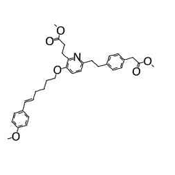 COC(=O)CCc1nc(CCc2ccc(CC(=O)OC)cc2)ccc1OCCCCC=Cc1ccc(OC)cc1